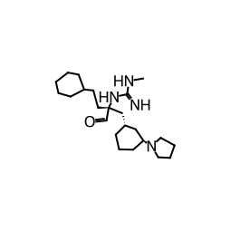 CNC(=N)N[C@](C=O)(CCC1CCCCC1)C[C@H]1CCC[C@H](N2CCCC2)C1